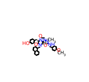 COc1ccc(CNC(=O)N(C)N2CC(=O)N3[C@@H](Cc4ccc(O)cc4)C(=O)N(Cc4cccc5ccccc45)C[C@@H]32)cc1